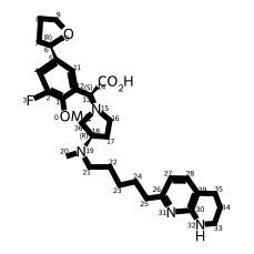 COc1c(F)cc([C@H]2CCCO2)cc1[C@@H](C(=O)O)N1CC[C@@H](N(C)CCCCCc2ccc3c(n2)NCCC3)C1